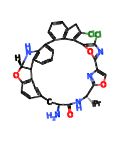 CC(C)[C@@H]1NC(=O)[C@@H](N)Cc2ccc3c(c2)C2c4cccc(c4N[C@H]2O3)-c2cccc3c2C(=C(Cl)C3)c2oc(nc2Cl)-c2coc1n2